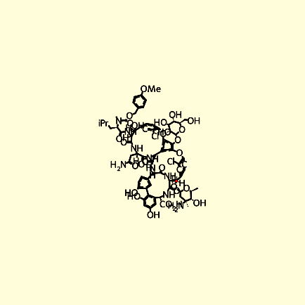 COc1ccc(COC(=O)N(C)[C@H](CC(C)C)C(=O)N[C@H]2C(=O)N[C@@H](CC(N)=O)C(=O)N[C@H]3C(=O)N[C@H]4C(=O)N[C@H](C(=O)N[C@@H](C(=O)O)c5cc(O)cc(O)c5-c5cc4ccc5O)[C@H](OC4C[C@](C)(N)[C@@H](O)[C@H](C)O4)c4ccc(c(Cl)c4)Oc4cc3cc(c4O[C@@H]3O[C@H](CO)[C@@H](O)[C@H](O)[C@H]3O)Oc3ccc(cc3Cl)[C@H]2O)cc1